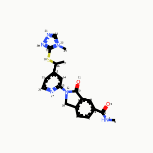 CNC(=O)c1ccc2c(c1)C(=O)N(c1cc(C(C)Sc3nncn3C)ccn1)C2